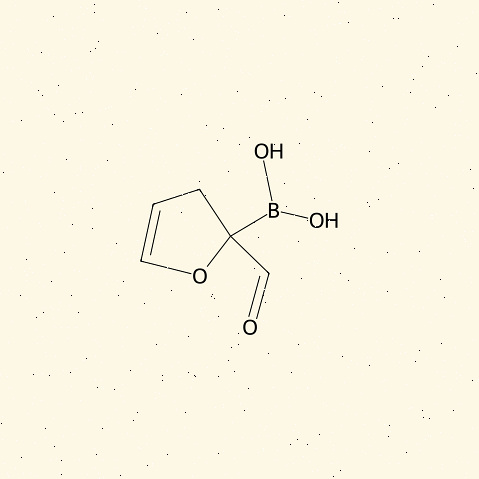 O=CC1(B(O)O)CC=CO1